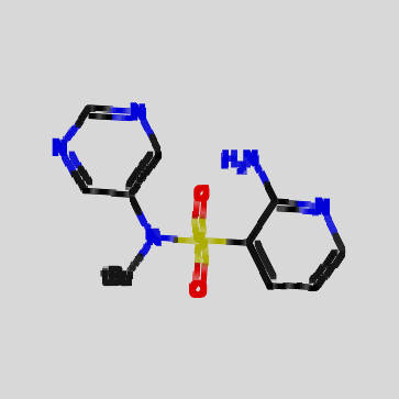 CC(C)(C)N(c1cncnc1)S(=O)(=O)c1cccnc1N